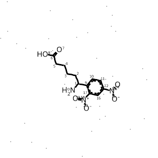 NC(CCCCC(=O)O)c1ccc([N+](=O)[O-])cc1[N+](=O)[O-]